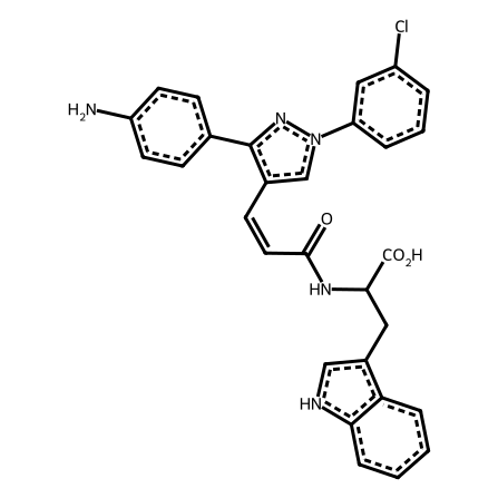 Nc1ccc(-c2nn(-c3cccc(Cl)c3)cc2/C=C\C(=O)NC(Cc2c[nH]c3ccccc23)C(=O)O)cc1